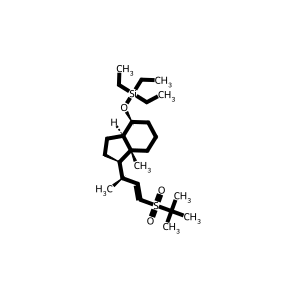 CC[Si](CC)(CC)O[C@H]1CCC[C@]2(C)[C@@H]([C@H](C)/C=C/S(=O)(=O)C(C)(C)C)CC[C@@H]12